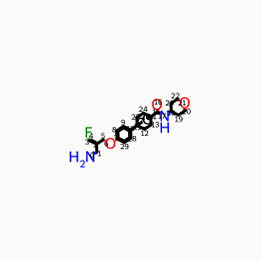 NC/C(=C/F)COc1ccc(C23CCC(C(=O)NC4CCOCC4)(CC2)CC3)cc1